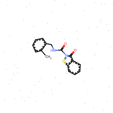 Cc1ccccc1CNC(=O)n1sc2ccccc2c1=O